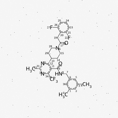 Cc1cc(C)cc(CNC(=O)c2c(C3CCN(C(=O)Cc4c(F)cccc4F)CC3)nc(C)nc2C(F)(F)F)c1